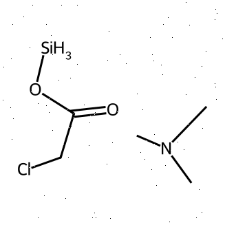 CN(C)C.O=C(CCl)O[SiH3]